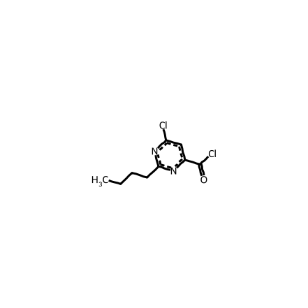 CCCCc1nc(Cl)cc(C(=O)Cl)n1